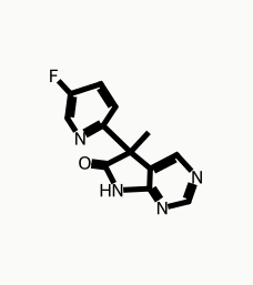 CC1(c2ccc(F)cn2)C(=O)Nc2ncncc21